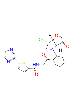 O=C(NCC(=O)C1CCCCC1N1C[C@H](Cl)[C@H]2OCC(=O)[C@H]21)c1ccc(-c2cnccn2)s1